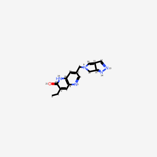 CCc1cc2ncc(CN3C=C4C=NN=C4C3)cc2[nH]c1=O